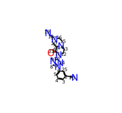 N#Cc1cccc(-n2cnc(N3CCN4CCN(C#N)CC4C3=O)n2)c1